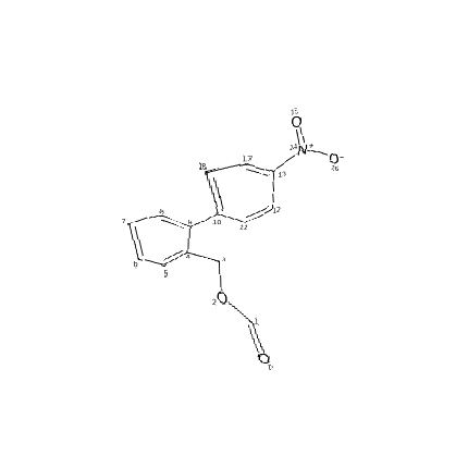 O=COCc1ccccc1-c1ccc([N+](=O)[O-])cc1